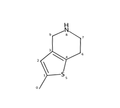 Cc1cc2c(s1)CCNC2